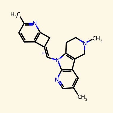 Cc1cnc2c(c1)c1c(n2/C=C2\Cc3nc(C)ccc32)CCN(C)C1